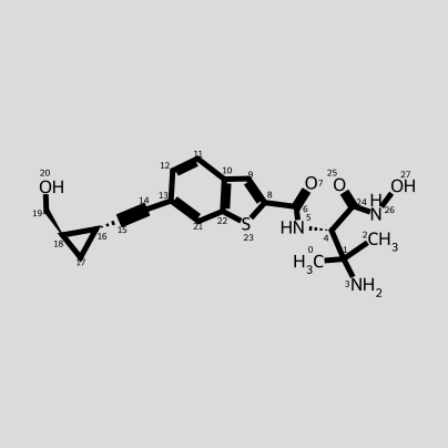 CC(C)(N)[C@H](NC(=O)c1cc2ccc(C#C[C@@H]3C[C@H]3CO)cc2s1)C(=O)NO